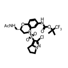 CC(=O)NC[C@H]1CN(S(=O)(=O)c2c(Cl)nn3c2CCC3)c2cc(NC(=O)OC(C)(C)C(F)(F)F)ccc2O1